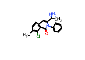 Cc1ccc2cc([C@H](C)N)n(-c3ccccc3)c(=O)c2c1Cl